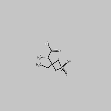 CCC1([C@H](N)C(=O)O)CS(=O)(=O)C1